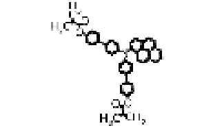 C=C(C)C(=O)Oc1ccc(-c2ccc(N(c3ccc(-c4ccc(OC(=O)C(=C)C)cc4)cc3)c3ccc4ccc5c6c4c3CC=C6CC=C5)cc2)cc1